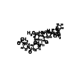 CC(=O)N1CCN(C(=O)C2CCN(CCC(=O)c3c(-c4cc(C)cc(C)c4)[nH]c4sc(C(C)(C)C(=O)N5C6CCC5CC6)cc34)CC2)CC1